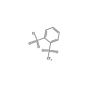 O=S(=O)(Cl)c1ccccc1S(=O)(=O)C(F)(F)F